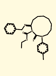 CCOC(=O)N1C(=S)N(c2ccc(C)cc2)CCCCCCC/C1=N/Cc1ccccc1